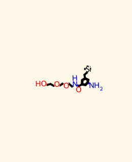 C[Si](C)(C)CCc1cc(N)cc(C(=O)NCCOCCOCCCO)c1